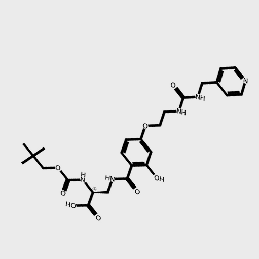 CC(C)(C)COC(=O)N[C@@H](CNC(=O)c1ccc(OCCNC(=O)NCc2ccncc2)cc1O)C(=O)O